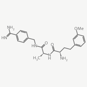 COc1cccc(CC[C@@H](N)C(=O)N[C@@H](C)C(=O)NCc2ccc(C(=N)N)cc2)c1